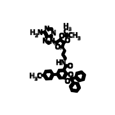 Cc1ccc(-c2cc3c(c(C(=O)NCCC[C@H]4O[C@@H](n5cnc6c(N)ncnc65)C5OC(C)(C)OC54)c2)OC(c2ccccc2)(c2ccccc2)O3)cc1